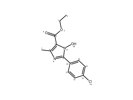 CCOC(=O)c1c(C)nc(-c2ccc(Cl)cc2)n1O